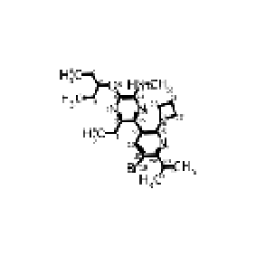 CCc1nc(OC(CC)CC)c(NC)nc1-c1cc(Br)c(C(C)C)nc1N1CCC1